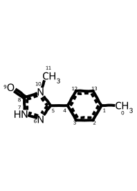 Cc1ccc(-c2n[nH]c(=O)n2C)cc1